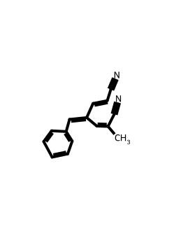 CC(C#N)=CC(C=CC#N)=Cc1ccccc1